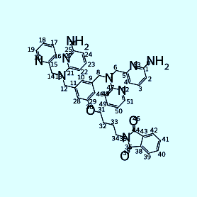 Nc1cccc(CN(Cc2cc(CN(Cc3ccccn3)c3cccc(N)n3)cc(OCCCCN3C(=O)c4ccccc4C3=O)c2)c2ccccn2)n1